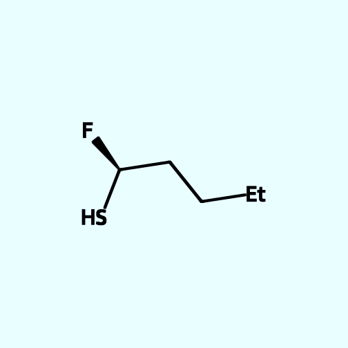 CCCC[C@H](F)S